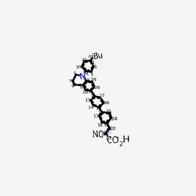 CCC(C)c1ccc(N2CCCc3cc(-c4ccc(-c5ccc(/C=C(\C#N)C(=O)O)cc5)cc4)ccc32)cc1